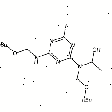 CCCCOCNc1nc(C)nc(N(COCCCC)C(C)O)n1